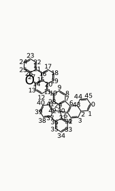 C1=CC2C=CC3=C(c4ccc(-c5ccc6c7c(cccc57)-c5ccccc5O6)cc4C34c3ccccc3-c3ccccc34)C2C=C1